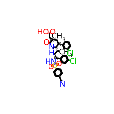 CC(C[C@H](NS(=O)(=O)c1ccc(C#N)cc1)c1ccc(Cl)cc1)[C@@H]1NC(=O)[C@](C)(CC(=O)O)C[C@@H]1c1cccc(Cl)c1